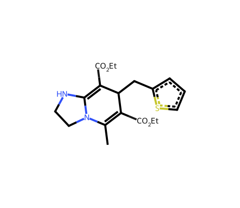 CCOC(=O)C1=C(C)N2CCNC2=C(C(=O)OCC)C1Cc1cccs1